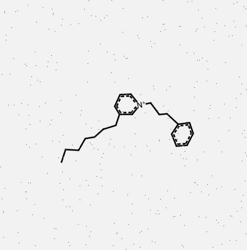 CCCCCCCc1ccc[n+](CCCc2ccccc2)c1